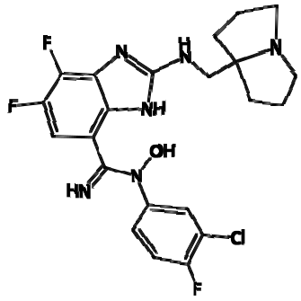 N=C(c1cc(F)c(F)c2nc(NCC34CCCN3CCC4)[nH]c12)N(O)c1ccc(F)c(Cl)c1